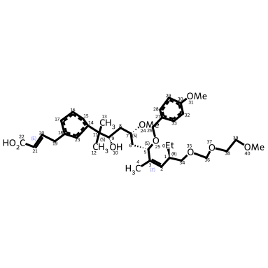 CC[C@H](/C=C(/C)[C@H](C[C@H](C[C@H](O)C(C)(C)c1cccc(C/C=C/C(=O)O)c1)OC)OCc1ccc(OC)cc1)COCOCCOC